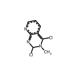 CN1C(Cl)=c2cccnc2=NC1Cl